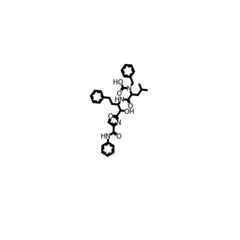 CC(C)CC(C(=O)NC(CCc1ccccc1)C(O)c1nc(C(=O)Nc2ccccc2)co1)N(Cc1ccccc1)C(=O)O